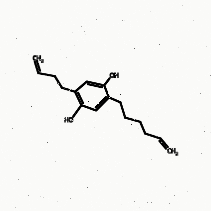 C=CCCCCc1cc(O)c(CCC=C)cc1O